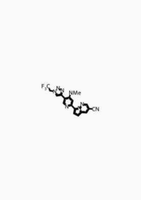 CNc1cc(-c2ccc3cc(C#N)cnn23)ncc1-c1cn(CC(F)(F)F)nn1